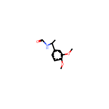 COc1ccc(C(C)NC=O)cc1OC